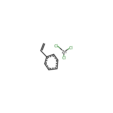 C=Cc1ccccc1.[Cl][Zn]([Cl])[Cl]